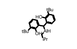 CC(C)[CH2][AlH][CH](c1cccc(C(C)(C)C)c1O)c1cccc(C(C)(C)C)c1O